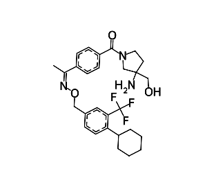 CC(=NOCc1ccc(C2CCCCC2)c(C(F)(F)F)c1)c1ccc(C(=O)N2CCC(N)(CO)C2)cc1